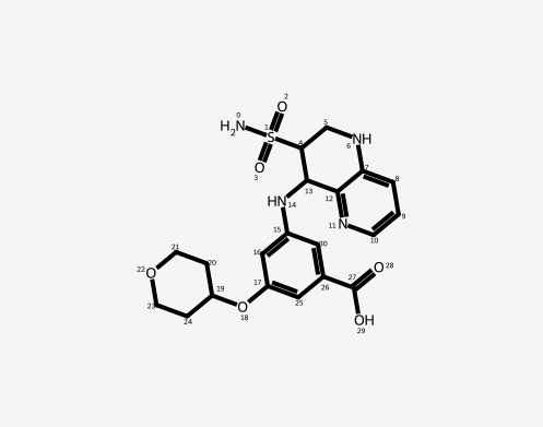 NS(=O)(=O)C1CNc2cccnc2C1Nc1cc(OC2CCOCC2)cc(C(=O)O)c1